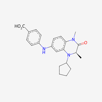 C[C@@H]1C(=O)N(C)c2ccc(Nc3ccc(C(=O)O)cc3)cc2N1C1CCCC1